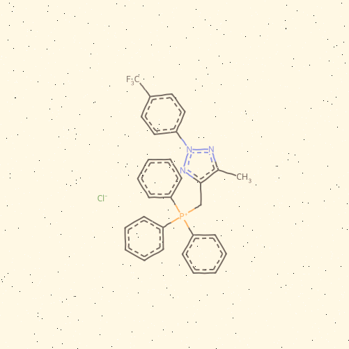 Cc1nn(-c2ccc(C(F)(F)F)cc2)nc1C[P+](c1ccccc1)(c1ccccc1)c1ccccc1.[Cl-]